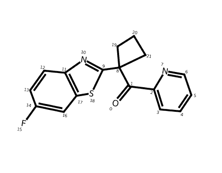 O=C(c1ccccn1)C1(c2nc3ccc(F)cc3s2)CCC1